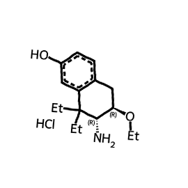 CCO[C@@H]1Cc2ccc(O)cc2C(CC)(CC)[C@H]1N.Cl